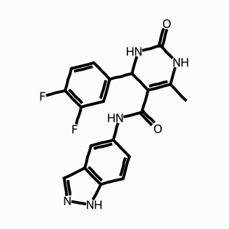 CC1=C(C(=O)Nc2ccc3[nH]ncc3c2)C(c2ccc(F)c(F)c2)NC(=O)N1